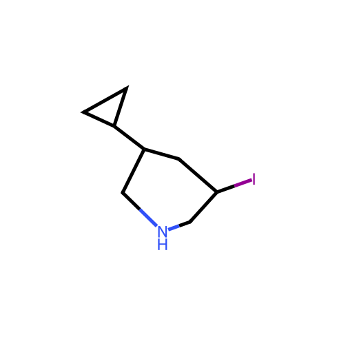 IC1CNCC(C2CC2)C1